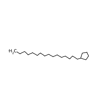 [CH2]CCCCCCCCCCCCCCCC1CCCC1